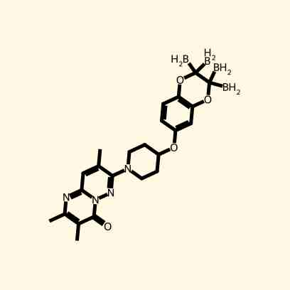 BC1(B)Oc2ccc(OC3CCN(c4nn5c(=O)c(C)c(C)nc5cc4C)CC3)cc2OC1(B)B